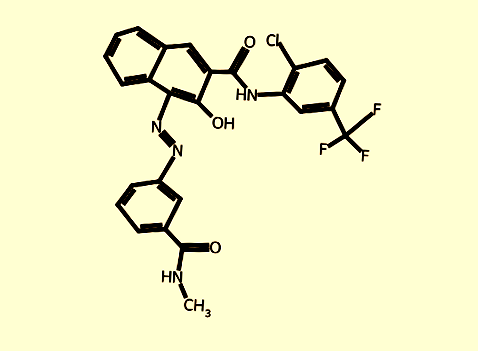 CNC(=O)c1cccc(N=Nc2c(O)c(C(=O)Nc3cc(C(F)(F)F)ccc3Cl)cc3ccccc23)c1